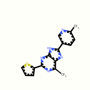 FC(F)(F)c1ccc(-c2nc3c(C(F)(F)F)nc(-c4cccs4)nc3[nH]2)cn1